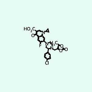 Cc1oc(=O)oc1CN1CCN(c2cc3c(cc2F)c(=O)c(C(=O)O)cn3C2CC2)CC1c1ccc(Cl)cc1